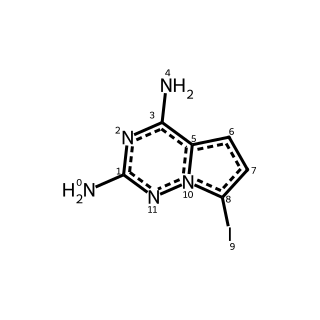 Nc1nc(N)c2ccc(I)n2n1